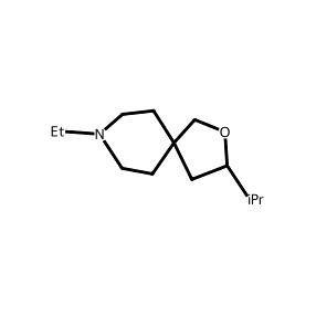 CCN1CCC2(CC1)COC(C(C)C)C2